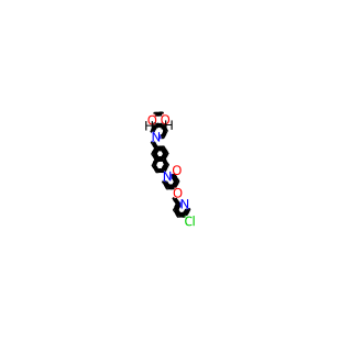 O=c1cc(OCc2ccc(Cl)cn2)ccn1C1=Cc2ccc(CN3CC[C@@H]4OCCO[C@@H]4C3)cc2CC1